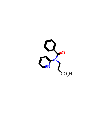 O=C(O)CCN(C(=O)C1=CC=C=C=C1)c1ccccn1